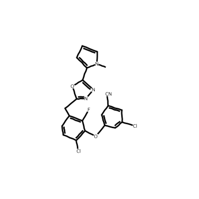 Cn1cccc1-c1nnc(Cc2ccc(Cl)c(Oc3cc(Cl)cc(C#N)c3)c2F)o1